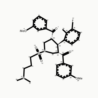 COc1cccc(C(=O)[C@H]2CN(S(=O)(=O)CCCN(C)C)C[C@@H](C(=O)c3cccc(OC)c3)[C@@H]2c2cccc(F)c2C)c1